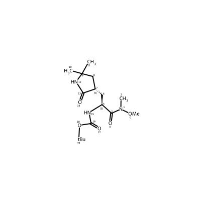 CON(C)C(=O)[C@H](C[C@H]1CC(C)(C)NC1=O)NC(=O)OC(C)(C)C